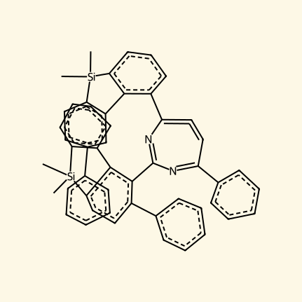 C[Si]1(C)c2ccc(-c3ccccc3)cc2-c2c(C3=C=CC(c4ccccc4)=NC(c4c(-c5ccccc5)ccc5c4-c4ccccc4[Si]5(C)C)=N3)cccc21